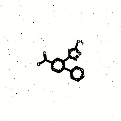 Cc1nc(-c2cc(C(=O)Cl)ccc2-c2ccccc2)no1